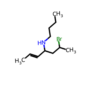 CC=CC(CC(C)Br)NCCCC